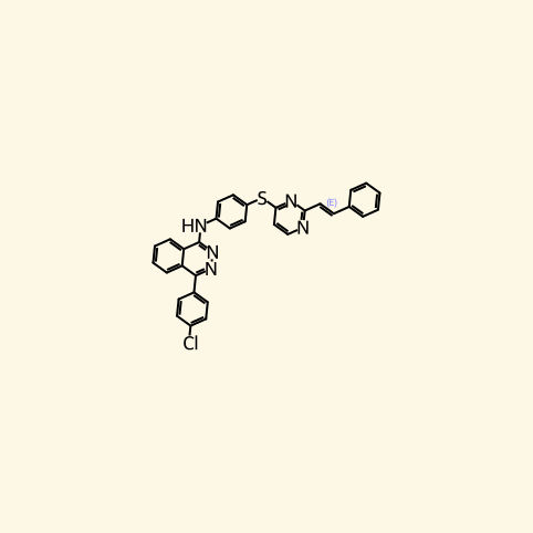 Clc1ccc(-c2nnc(Nc3ccc(Sc4ccnc(/C=C/c5ccccc5)n4)cc3)c3ccccc23)cc1